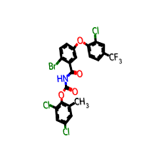 Cc1cc(Cl)cc(Cl)c1OC(=O)NC(=O)c1cc(Oc2ccc(C(F)(F)F)cc2Cl)ccc1Br